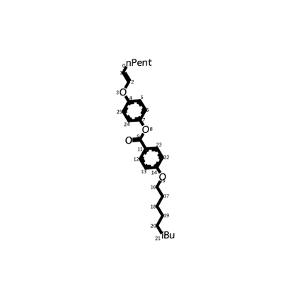 CCCCCC=COc1ccc(OC(=O)c2ccc(OCCCCCC(C)CC)cc2)cc1